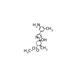 CCOC(=O)C1CC[C@](O)(c2ncc(-c3cc(C)cc(N)c3)s2)C[C@H]1C